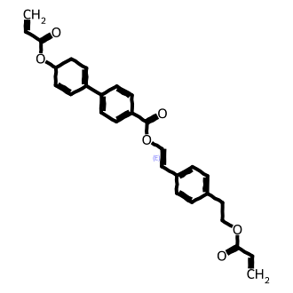 C=CC(=O)OCCc1ccc(/C=C/OC(=O)c2ccc(C3=CCC(OC(=O)C=C)C=C3)cc2)cc1